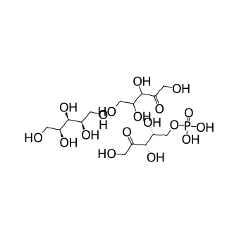 O=C(CO)C(O)C(O)CO.O=C(CO)[C@@H](O)[C@H](O)COP(=O)(O)O.OC[C@@H](O)[C@H](O)[C@@H](O)CO